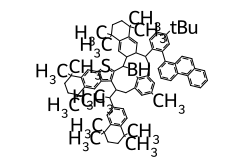 Cc1cc2c3c(c1)CC(c1ccc(C(C)(C)C)cc1-c1cccc4c1ccc1ccccc14)C1C=C4C(=CC1C(B3)c1sc3cc5c(cc3c1C(C(C)c1ccc3c(c1)C(C)(C)CCC3(C)C)C2)C(C)(C)CCC5(C)C)C(C)(C)CCC4(C)C